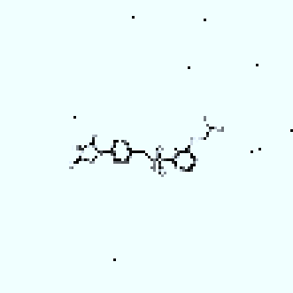 O=C1CN(c2ccc(CNS(=O)(=O)c3cccc(OCC(F)F)c3)cc2)C(=O)N1